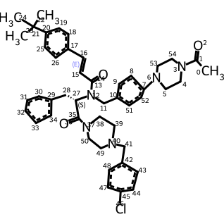 CC(=O)N1CCN(c2ccc(CN(C(=O)/C=C/c3ccc(C(C)(C)C)cc3)[C@@H](Cc3ccccc3)C(=O)N3CCN(Cc4ccc(Cl)cc4)CC3)cc2)CC1